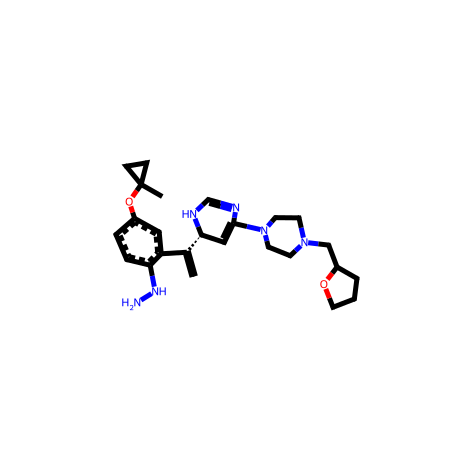 C=C(c1cc(OC2(C)CC2)ccc1NN)[C@H]1C=C(N2CCN(CC3CCCO3)CC2)N=CN1